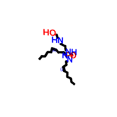 CCCCC/C=C\CC=NP(=O)(N=CC/C=C\CCCCC)NCCCNCCO